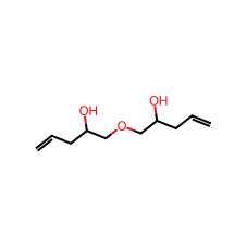 C=CCC(O)COCC(O)CC=C